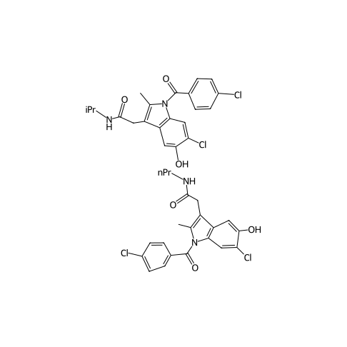 CCCNC(=O)Cc1c(C)n(C(=O)c2ccc(Cl)cc2)c2cc(Cl)c(O)cc12.Cc1c(CC(=O)NC(C)C)c2cc(O)c(Cl)cc2n1C(=O)c1ccc(Cl)cc1